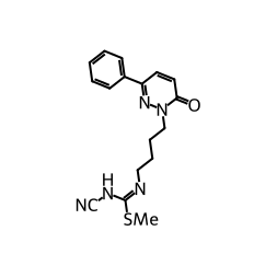 CSC(=NCCCCn1nc(-c2ccccc2)ccc1=O)NC#N